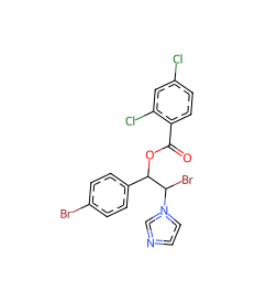 O=C(OC(c1ccc(Br)cc1)C(Br)n1ccnc1)c1ccc(Cl)cc1Cl